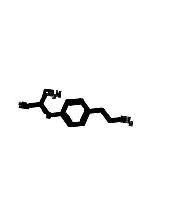 CC(C)(C)C(Sc1ccc(CCN)cc1)C(=O)O